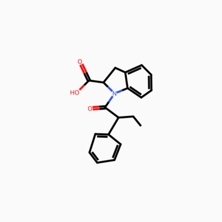 CCC(C(=O)N1c2ccccc2CC1C(=O)O)c1ccccc1